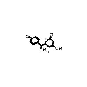 CC(c1ccc(Cl)cc1)C1CC(O)CC(=O)O1